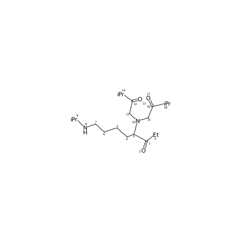 CCC(=O)C(CCCCNC(C)C)N(CC(=O)C(C)C)CC(=O)C(C)C